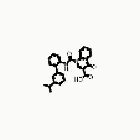 CC(C)c1cccc(-c2ccccc2NC(=O)n2cc(C(=O)O)c(=O)c3ccccc32)c1